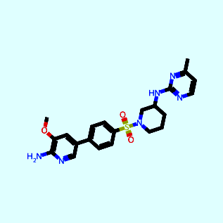 COc1cc(-c2ccc(S(=O)(=O)N3CCCC(Nc4nccc(C)n4)C3)cc2)cnc1N